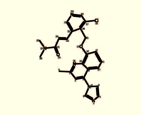 Cc1cc(-n2ccnc2)c2cccc(OCc3c(Cl)cncc3C=CC(=O)N(C)C)c2n1